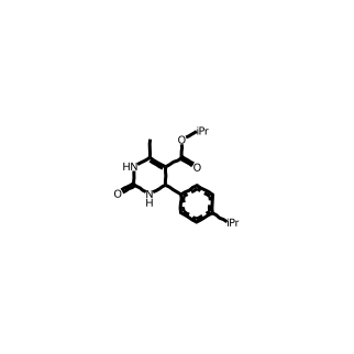 CC1=C(C(=O)OC(C)C)C(c2ccc(C(C)C)cc2)NC(=O)N1